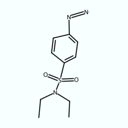 CCN(CC)S(=O)(=O)c1ccc(N=[N])cc1